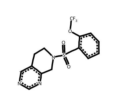 O=S(=O)(c1ccccc1OC(F)(F)F)N1CCc2[c]ncnc2C1